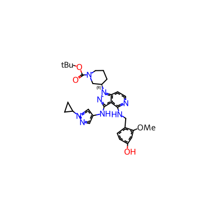 COc1cc(O)ccc1CNc1nccc2c1c(Nc1cnn(C3CC3)c1)nn2[C@@H]1CCCN(C(=O)OC(C)(C)C)C1